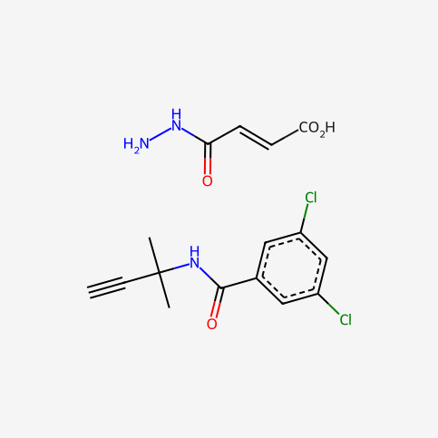 C#CC(C)(C)NC(=O)c1cc(Cl)cc(Cl)c1.NNC(=O)C=CC(=O)O